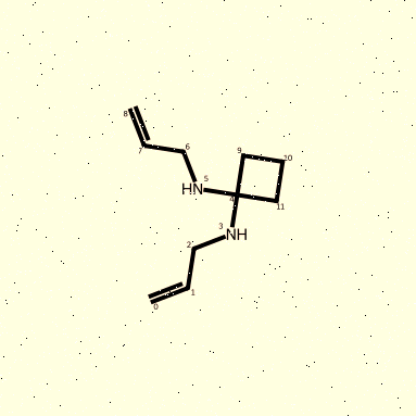 C=CCNC1(NCC=C)CCC1